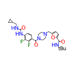 CC(C)(C)NC(=O)c1ccc(CN2CCN(C(=O)c3ccc(NC(=O)NCC4CC4)c(F)c3F)CC2)o1